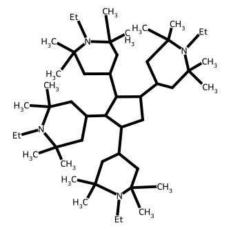 CCN1C(C)(C)CC(C2CC(C3CC(C)(C)N(CC)C(C)(C)C3)C(C3CC(C)(C)N(CC)C(C)(C)C3)C2C2CC(C)(C)N(CC)C(C)(C)C2)CC1(C)C